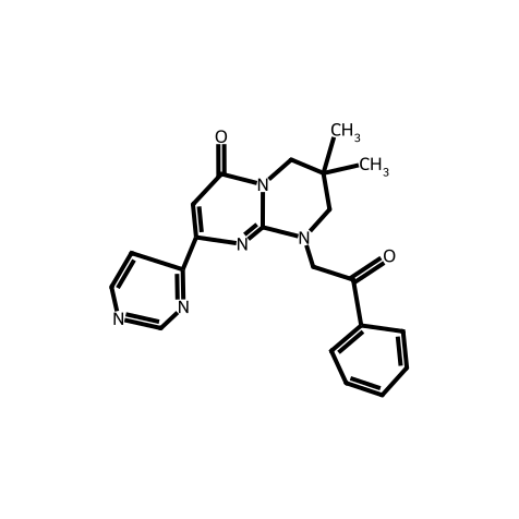 CC1(C)CN(CC(=O)c2ccccc2)c2nc(-c3ccncn3)cc(=O)n2C1